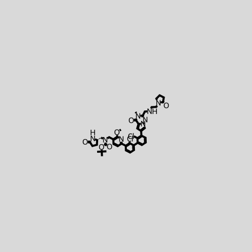 COc1nc(-c2cccc(-c3cccc(-c4cc5c(=O)n(C)c(CNCCN6CCCC6=O)nn5c4)c3Cl)c2Cl)ccc1CN(C[C@@H]1CCC(=O)N1)C(=O)OC(C)(C)C